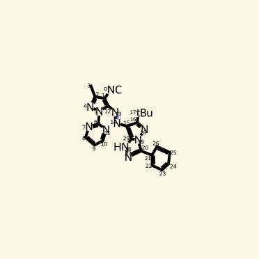 [C-]#[N+]c1c(C)nn(-c2ncccn2)c1/N=N/c1c(C(C)(C)C)nn2c(-c3ccccc3)n[nH]c12